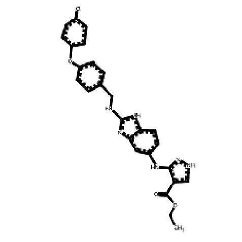 CCOC(=O)c1c[nH]nc1Nc1ccc2[nH]c(NCc3ccc(Oc4ccc(Cl)cc4)cc3)nc2c1